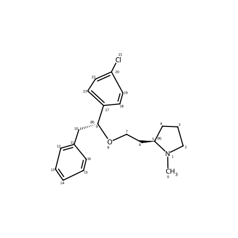 CN1CCC[C@@H]1CCO[C@H](Cc1ccccc1)c1ccc(Cl)cc1